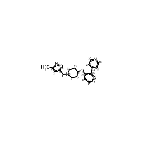 Cc1cc(CN2CCC(Oc3cccnc3-c3ccncc3)CC2)on1